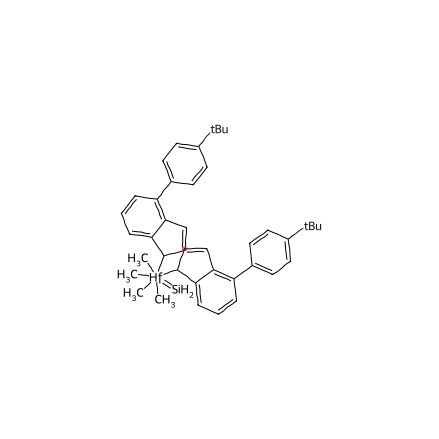 CC(C)(C)c1ccc(-c2cccc3c2C=C[CH]3[Hf]([CH3])([CH3])([CH3])([CH3])(=[SiH2])[CH]2C=Cc3c(-c4ccc(C(C)(C)C)cc4)cccc32)cc1